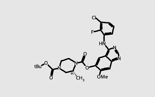 COc1cc2ncnc(Nc3cccc(Cl)c3F)c2cc1OC(=O)N1CCN(C(=O)OC(C)(C)C)C[C@H]1C